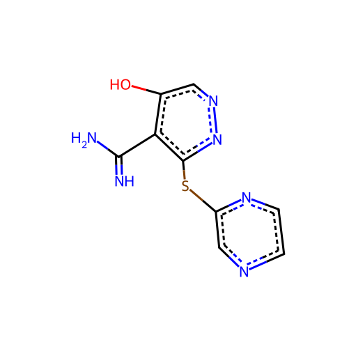 N=C(N)c1c(O)cnnc1Sc1cnccn1